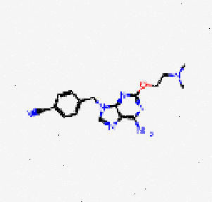 CN(C)CCOc1nc(N)c2ncn(Cc3ccc(C#N)cc3)c2n1